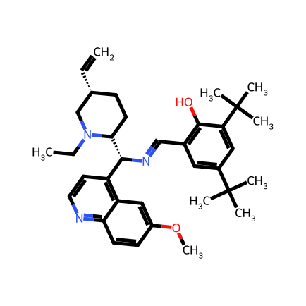 C=C[C@@H]1CCC([C@H](/N=C/c2cc(C(C)(C)C)cc(C(C)(C)C)c2O)c2ccnc3ccc(OC)cc23)N(CC)C1